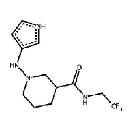 O=C(NCC(F)(F)F)C1CCCN(Nc2cc[nH]c2)C1